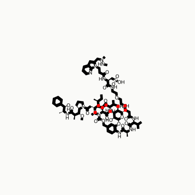 CC[C@H](C)[C@@H]([C@@H](CC(=O)N1CCC[C@H]1[C@H](OC)[C@@H](C)C(=O)N[C@H](C)[C@@H](O)c1ccccc1)OC)N(C)C(=O)[C@@H](NC(=O)[C@H](C(C)C)N(C)C(=O)OCc1ccc(NC(=O)[C@H](C)NC(=O)[C@@H](NC(=O)CCOCCOCCNC(=O)[C@H](CS(=O)(=O)O)NC(=O)CCn2c(CN(C)NC)cc3cccnc32)C(C)C)c(O[C@H]2O[C@@H](CO)[C@H](O)[C@H](O)[C@H]2O)c1)C(C)C